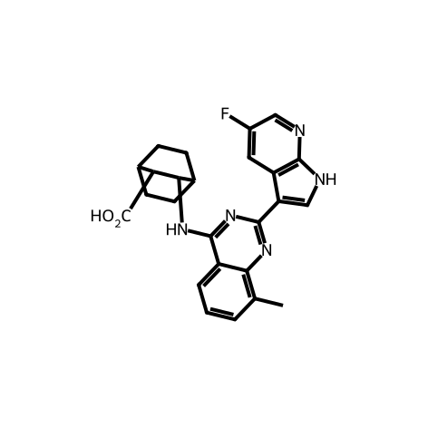 Cc1cccc2c(NC3C4CCC(CC4)C3C(=O)O)nc(-c3c[nH]c4ncc(F)cc34)nc12